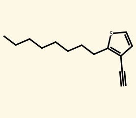 C#Cc1ccsc1CCCCCCCC